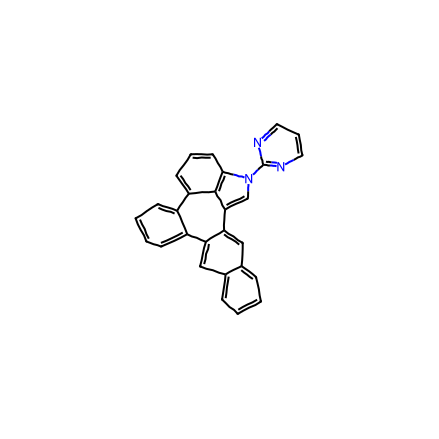 c1cnc(-n2cc3c4c(cccc42)-c2ccccc2-c2cc4ccccc4cc2-3)nc1